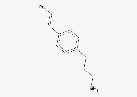 CC(C)/C=C/c1ccc(CCC[SiH3])cc1